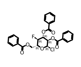 O=C(OC[C@H]1O[C@H](Cl)[C@H](OC(=O)c2ccccc2)[C@@H](OC(=O)c2ccccc2)[C@@H]1F)c1ccccc1